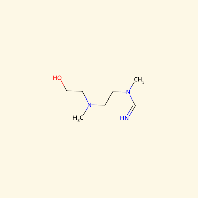 CN(C=N)CCN(C)CCO